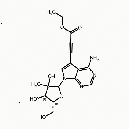 CCOC(=O)C#Cc1cn(C2O[C@H](CO)[C@@H](O)C2(C)O)c2ncnc(N)c12